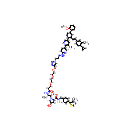 CCCOc1ccccc1-c1cnc(-c2cnc(-c3ccc(NCCCn4cc(COCCOCCOCCC(=O)N[C@H](C(=O)N5C[C@H](O)C[C@H]5C(=O)NCc5ccc(-c6scnc6C)cc5)C(C)(C)C)nn4)nc3)c(C)c2)c(/C=C/c2ccc(C3CC3)c(C)c2)c1